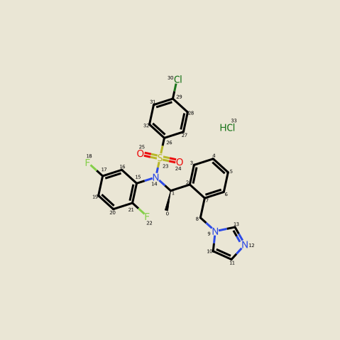 C[C@H](c1ccccc1Cn1ccnc1)N(c1cc(F)ccc1F)S(=O)(=O)c1ccc(Cl)cc1.Cl